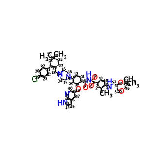 Cc1cc(S(=O)(=O)NC(=O)c2ccc(N3CCN(CC4=C(c5ccc(Cl)cc5)CC(C)(C)CC4)CC3)cc2Oc2cnc3[nH]ccc3c2)ccc1NC[C@H]1COCC(C)(C)O1